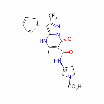 Cc1[nH]c2c(-c3ccccc3)c(C(F)(F)F)nn2c(=O)c1C(=O)N[C@H]1CCN(C(=O)O)C1